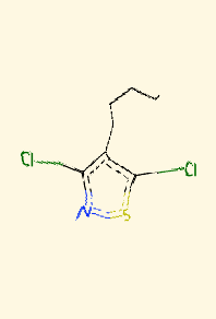 CCc1c(Cl)nsc1Cl